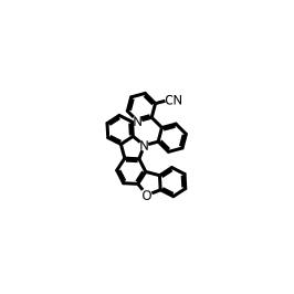 N#Cc1cccnc1-c1ccccc1-n1c2ccccc2c2ccc3oc4ccccc4c3c21